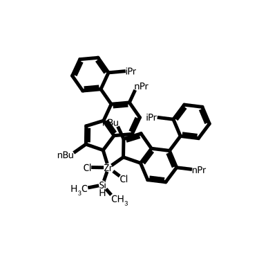 CCCCC1=Cc2c(ccc(CCC)c2-c2ccccc2C(C)C)[CH]1[Zr]([Cl])([Cl])([CH]1C(CCCC)=Cc2c1ccc(CCC)c2-c1ccccc1C(C)C)[SiH](C)C